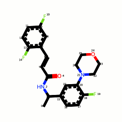 CC(NC(=O)/C=C/c1cc(F)ccc1F)c1ccc(F)c(N2CCOCC2)c1